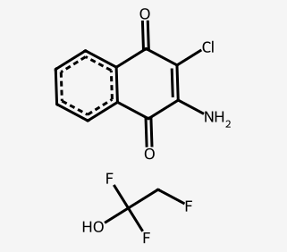 NC1=C(Cl)C(=O)c2ccccc2C1=O.OC(F)(F)CF